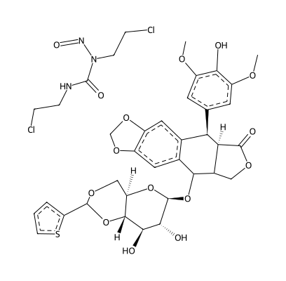 COc1cc([C@@H]2c3cc4c(cc3C(O[C@@H]3O[C@@H]5COC(c6cccs6)O[C@H]5[C@H](O)[C@H]3O)C3COC(=O)[C@@H]32)OCO4)cc(OC)c1O.O=NN(CCCl)C(=O)NCCCl